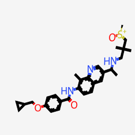 Cc1c(NC(=O)c2ccc(OCC3CC3)cc2)ccc2cc(C(C)NCC(C)(C)C[S@+](C)[O-])cnc12